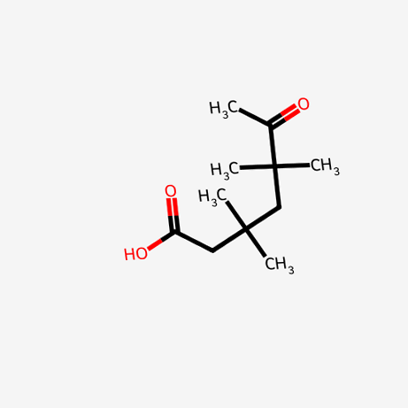 CC(=O)C(C)(C)CC(C)(C)CC(=O)O